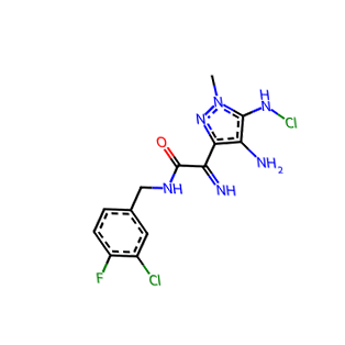 Cn1nc(C(=N)C(=O)NCc2ccc(F)c(Cl)c2)c(N)c1NCl